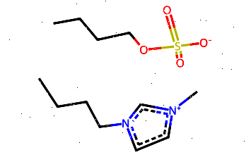 CCCCOS(=O)(=O)[O-].CCCCn1cc[n+](C)c1